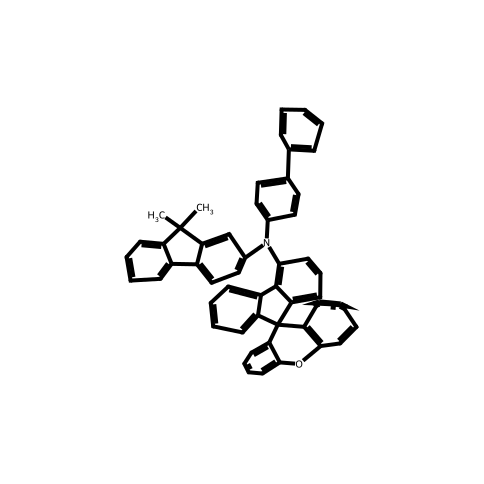 CC1(C)c2ccccc2-c2ccc(N(c3ccc(-c4ccccc4)cc3)c3cccc4c3-c3ccccc3C43c4ccccc4Oc4ccc5ccccc5c43)cc21